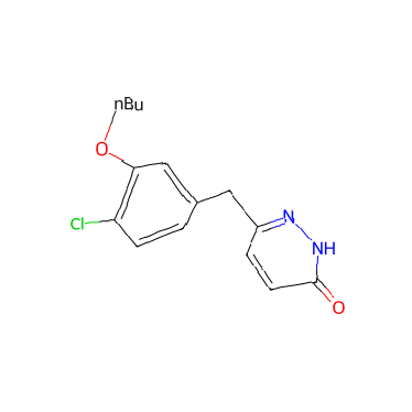 CCCCOc1cc(Cc2ccc(=O)[nH]n2)ccc1Cl